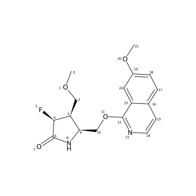 COC[C@@H]1[C@H](F)C(=O)N[C@@H]1COc1nccc2ccc(OC)cc12